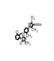 CNc1c(C)nn(-c2ccc(OCc3c(Cl)cccc3-n3nnn(C)c3=O)c(C)c2)c1C